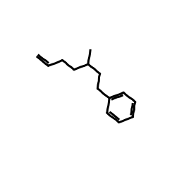 C=CCCC(C)CCc1ccccc1